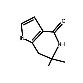 CC1(C)Cc2[nH]ccc2C(=O)N1